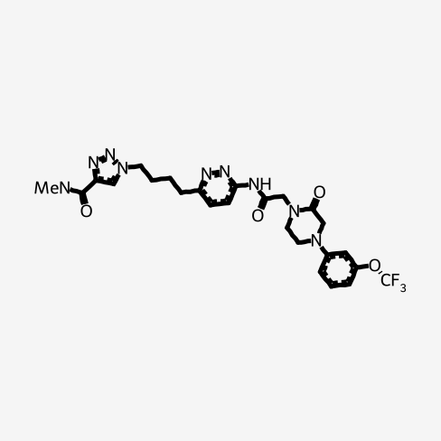 CNC(=O)c1cn(CCCCc2ccc(NC(=O)CN3CCN(c4cccc(OC(F)(F)F)c4)CC3=O)nn2)nn1